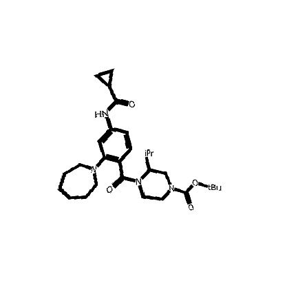 CC(C)C1CN(C(=O)OC(C)(C)C)CCN1C(=O)c1ccc(NC(=O)C2CC2)cc1N1CCCCCC1